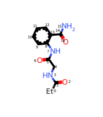 CCC(=O)NCC(=O)Nc1ccccc1C(N)=O